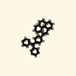 c1ccc(N(c2ccccc2)c2ccc3c(c2)-c2ccc4ccc5cccc6cc-3c2c4c56)cc1